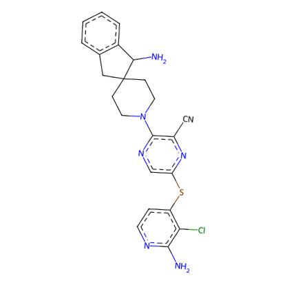 N#Cc1nc(Sc2ccnc(N)c2Cl)cnc1N1CCC2(CC1)Cc1ccccc1C2N